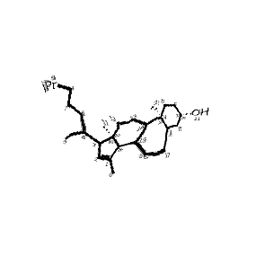 CC1=CC(C(C)CCCC(C)C)[C@@]2(C)CCC3C(CCC4C[C@@H](O)CC[C@@]43C)C12